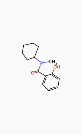 CN(C(=O)c1ccccc1O)C1CCCCC1